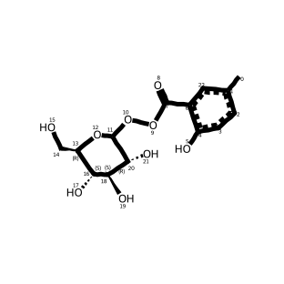 Cc1ccc(O)c(C(=O)OOC2O[C@H](CO)[C@@H](O)[C@H](O)[C@H]2O)c1